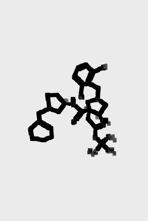 C[C@H]1CN(Cc2c(Cl)cccc2Cl)C[C@@]1(CC(=O)OC(C)(C)C)C(=O)N[C@H]1CCN(CC2=CCCCC2)C1